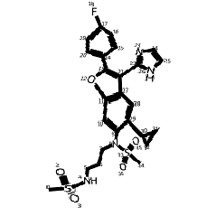 CS(=O)(=O)NCCCN(c1cc2oc(-c3ccc(F)cc3)c(-c3ncc[nH]3)c2cc1C1CC1)S(C)(=O)=O